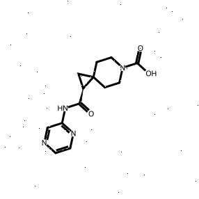 O=C(Nc1cnccn1)[C@H]1CC12CCN(C(=O)O)CC2